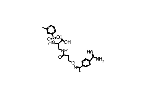 C/C(=N/OCCC(=O)NCC(NS(=O)(=O)c1cccc(C)c1)C(=O)O)c1ccc(C(=N)N)cc1